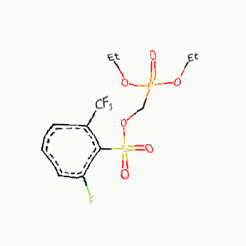 CCOP(=O)(COS(=O)(=O)c1c(F)cccc1C(F)(F)F)OCC